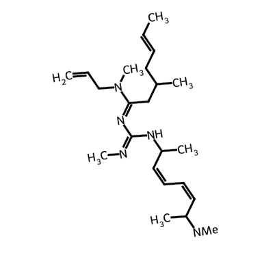 C=CCN(C)/C(CC(C)CC=CC)=N/C(=N\C)NC(C)/C=C\C=C/C(C)NC